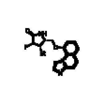 CC[C@H]1[C@@H](COc2cccc3ccc4nccn4c23)NC(=O)[C@@H]1F